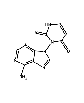 Nc1ncnc2c1ncn2-n1c(=O)cc[nH]c1=S